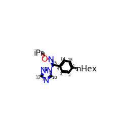 CCCCCCc1ccc(C(=NOC(C)C)n2cncn2)cc1